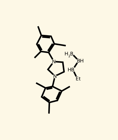 BBBCC.Cc1cc(C)c(N2CCN(c3c(C)cc(C)cc3C)C2)c(C)c1